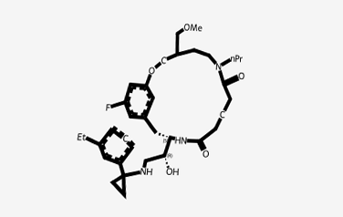 CCCN1CCC(COC)COc2cc(F)cc(c2)C[C@@H]([C@H](O)CNC2(c3cccc(CC)c3)CC2)NC(=O)CCCC1=O